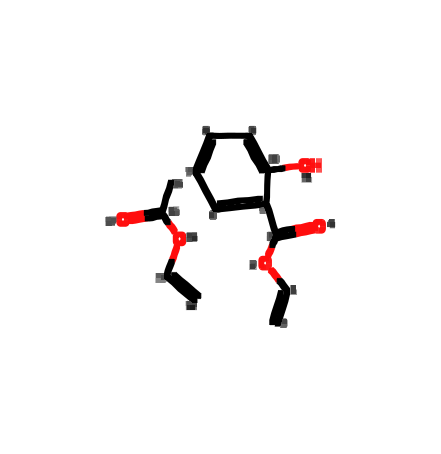 C=COC(=O)c1ccccc1O.C=COC(C)=O